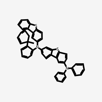 CC1(c2ccccc2N(c2ccc3c(c2)sc2ccc(N(c4ccccc4)c4ccccc4)cc23)c2ccc3sc4ccccc4c3c2)C=CC=CC1